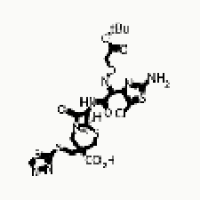 CC(C)(C)OC(=O)CON=C(C(=O)NC1C(=O)N2CC(CSc3nncs3)(C(=O)O)CS[C@H]12)c1nc(N)sc1Cl